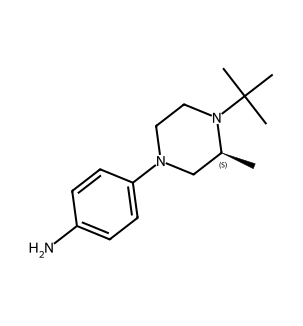 C[C@H]1CN(c2ccc(N)cc2)CCN1C(C)(C)C